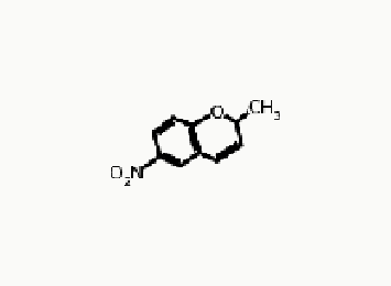 CC1C=Cc2cc([N+](=O)[O-])ccc2O1